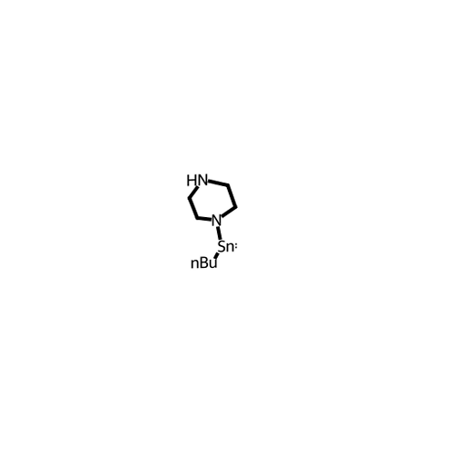 CCC[CH2][Sn][N]1CCNCC1